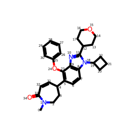 CN1CCC(c2ccc3c(nc(C4CCOCC4)n3C3CCC3)c2Oc2ccccc2)C=CC1=O